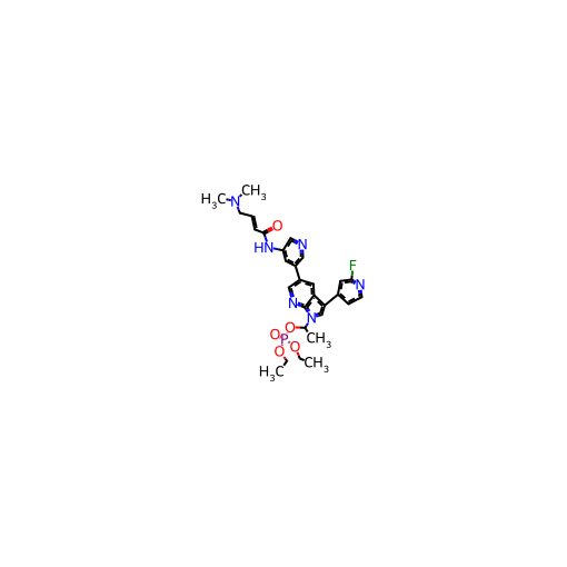 CCOP(=O)(OCC)OC(C)n1cc(-c2ccnc(F)c2)c2cc(-c3cncc(NC(=O)/C=C/CN(C)C)c3)cnc21